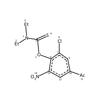 CCN(CC)C(=S)Oc1c(Cl)cc(C(C)=O)cc1[N+](=O)[O-]